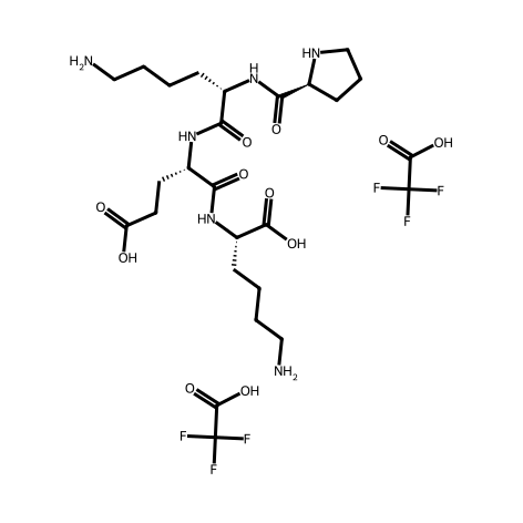 NCCCC[C@H](NC(=O)[C@H](CCC(=O)O)NC(=O)[C@H](CCCCN)NC(=O)[C@@H]1CCCN1)C(=O)O.O=C(O)C(F)(F)F.O=C(O)C(F)(F)F